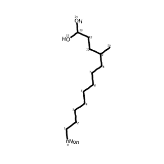 CCCCCCCCCCCCCCCCC[C](C)CCC(O)O